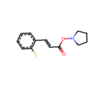 O=C(C=Cc1ccccc1F)ON1CCCC1